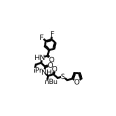 CCCCC(NC(=O)C(CC(C)C)NC(=O)c1ccc(F)c(F)c1)C(=O)CSCc1ccco1